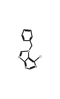 Clc1ncnc2ncn(Cc3ccccc3)c12